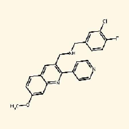 COc1ccc2cc(CNCc3ccc(F)c(Cl)c3)c(-c3ccncc3)nc2c1